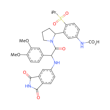 COc1ccc(C(Nc2ccc3c(c2)C(=O)NC3=O)C(=O)N2CCCC2c2cc(NC(=O)O)ccc2S(=O)(=O)C(C)C)cc1OC